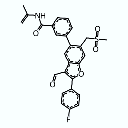 C=C(C)NC(=O)c1cccc(-c2cc3c(C=O)c(-c4ccc(F)cc4)oc3cc2CS(C)(=O)=O)c1